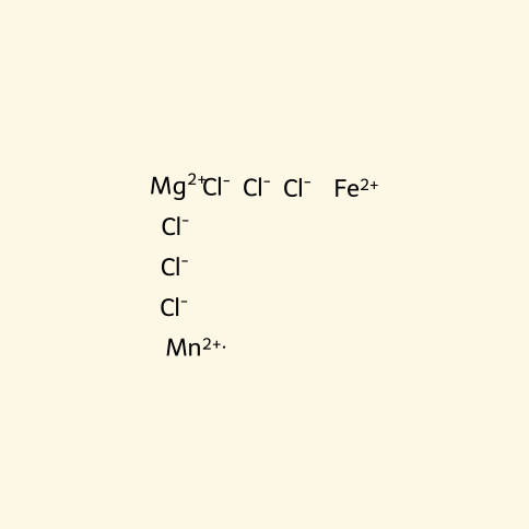 [Cl-].[Cl-].[Cl-].[Cl-].[Cl-].[Cl-].[Fe+2].[Mg+2].[Mn+2]